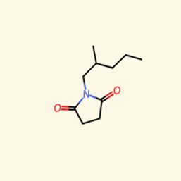 CCCC(C)CN1C(=O)CCC1=O